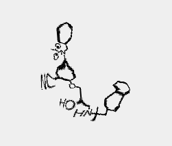 CC(C)(Cc1ccc2ccccc2c1)NCC(O)COc1ccc(N(Cc2ccccc2)S(C)(=O)=O)cc1C#N